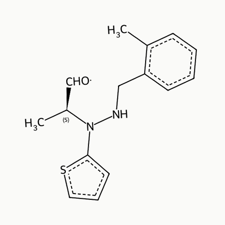 Cc1ccccc1CNN(c1cccs1)[C@@H](C)[C]=O